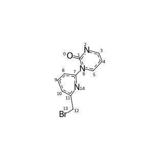 O=c1ncccn1-c1cccc(CBr)n1